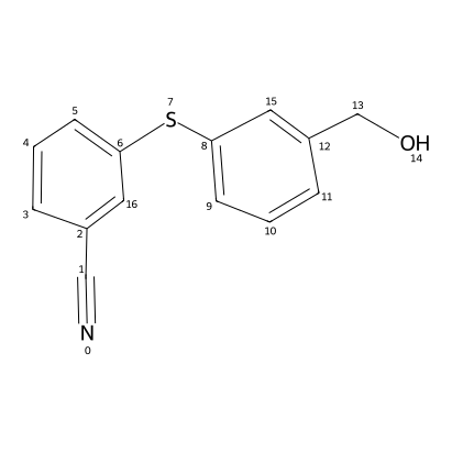 N#Cc1cccc(Sc2cccc(CO)c2)c1